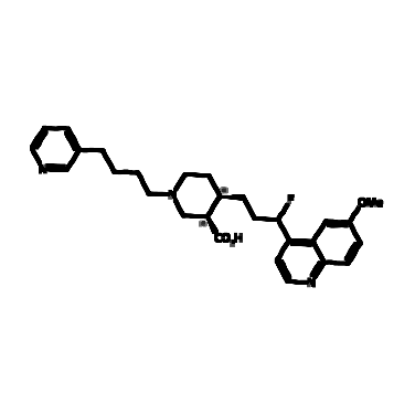 COc1ccc2nccc(C(F)CC[C@@H]3CCN(CCCCc4cccnc4)C[C@@H]3C(=O)O)c2c1